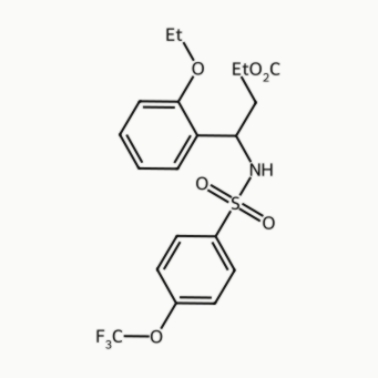 CCOC(=O)CC(NS(=O)(=O)c1ccc(OC(F)(F)F)cc1)c1ccccc1OCC